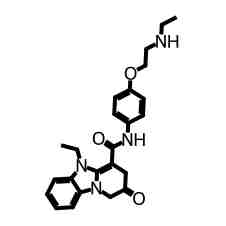 CCNCCOc1ccc(NC(=O)C2=C3N(CC)c4ccccc4N3CC(=O)C2)cc1